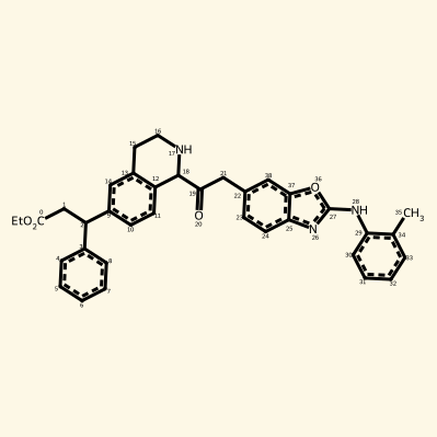 CCOC(=O)CC(c1ccccc1)c1ccc2c(c1)CCNC2C(=O)Cc1ccc2nc(Nc3ccccc3C)oc2c1